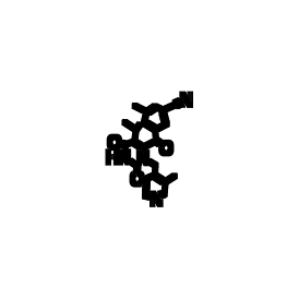 Cc1cc(C#N)cc(C(=O)c2c(C(C)C)c(=O)[nH]c(=O)n2Cc2ccncc2C)c1